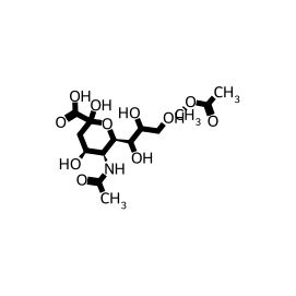 CC(=O)N[C@@H]1[C@@H](O)CC(O)(C(=O)O)O[C@H]1C(O)C(O)CO.COC(C)=O